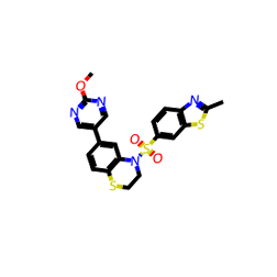 COc1ncc(-c2ccc3c(c2)N(S(=O)(=O)c2ccc4nc(C)sc4c2)CCS3)cn1